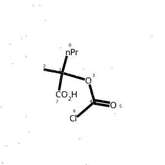 CCCC(C)(OC(=O)Cl)C(=O)O